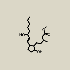 CCCCCC(O)C=CC1CCC(O)C1CCC(C)CC(=O)OC